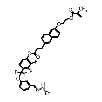 C=C(C(=O)OCCOc1ccc2cc(CCC(=O)Oc3ccc(C(F)(F)Oc4cccc(/C=N/NCC)c4)c(F)c3F)ccc2c1)C(F)(F)F